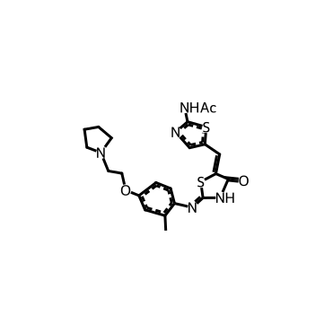 CC(=O)Nc1ncc(/C=C2\S/C(=N\c3ccc(OCCN4CCCC4)cc3C)NC2=O)s1